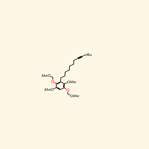 CCCCC#CCCCCCCCc1c(OC)c(OCOC)cc(OC)c1OCOC